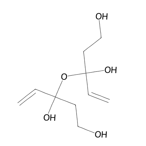 C=CC(O)(CCO)OC(O)(C=C)CCO